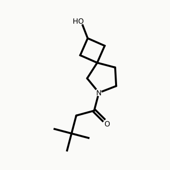 CC(C)(C)CC(=O)N1CCC2(CC(O)C2)C1